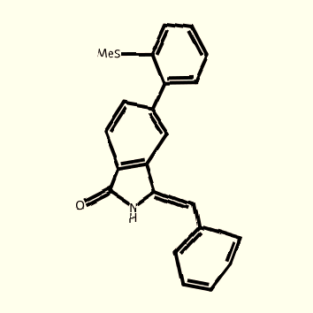 CSc1ccccc1-c1ccc2c(c1)C(=Cc1ccccc1)NC2=O